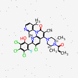 C=CC(=O)N1[C@H](C)CN(c2c(C#N)c(=O)n(-c3c(C)ccnc3C(C)C)c3nc(-c4c(O)c(Cl)c(Cl)c(Cl)c4F)c(Cl)cc23)C[C@@H]1C